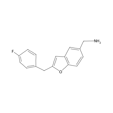 NCc1ccc2oc(Cc3ccc(F)cc3)cc2c1